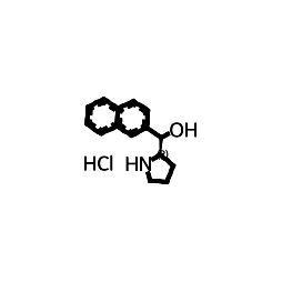 Cl.OC(c1ccc2ccccc2c1)[C@H]1CCCN1